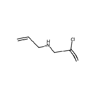 C=CCNCC(=C)Cl